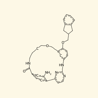 Nc1cc2ccc1-c1ccnc(n1)Nc1ccc(OCC3Cc4ccccc4C3)c(c1)COCCCCNC2=O